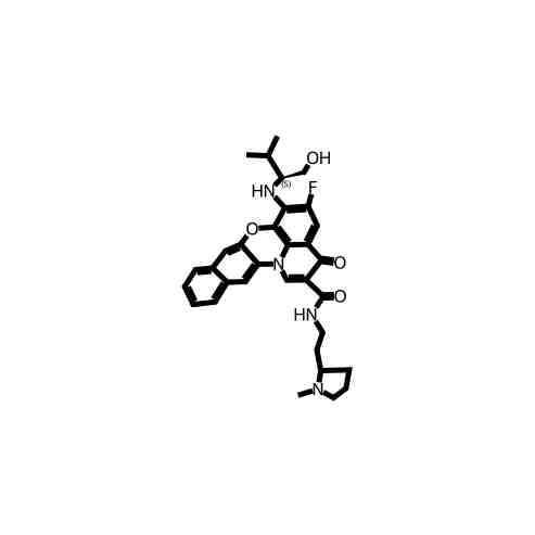 CC(C)[C@@H](CO)Nc1c(F)cc2c(=O)c(C(=O)NCCC3CCCN3C)cn3c2c1Oc1cc2ccccc2cc1-3